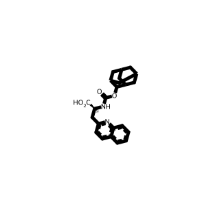 O=C(N[C@@H](Cc1ccc2ccccc2n1)C(=O)O)OC1C2CC3CC(C2)CC1C3